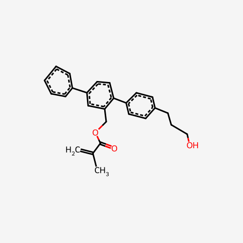 C=C(C)C(=O)OCc1cc(-c2ccccc2)ccc1-c1ccc(CCCO)cc1